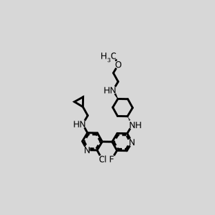 COCCN[C@H]1CC[C@H](Nc2cc(-c3cc(NCC4CC4)cnc3Cl)c(F)cn2)CC1